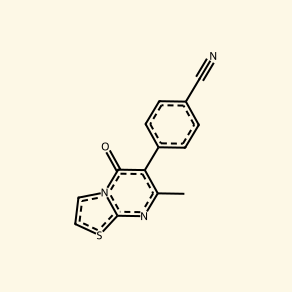 Cc1nc2sccn2c(=O)c1-c1ccc(C#N)cc1